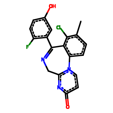 Cc1ccc2c(c1Cl)C(c1cc(O)ccc1F)=NCc1nc(=O)ccn1-2